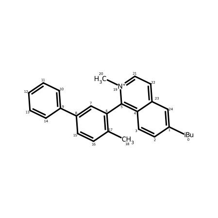 CCC(C)c1ccc2c(-c3cc(-c4ccccc4)ccc3C)[n+](C)ccc2c1